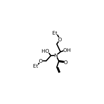 C=CC(=O)N(C(O)COCC)C(O)COCC